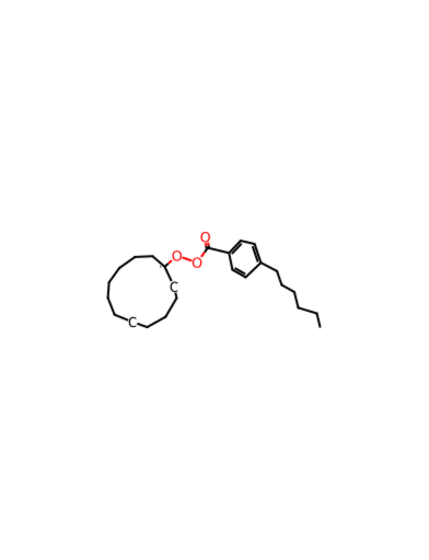 CCCCCCc1ccc(C(=O)OO[C]2CCCCCCCCCCC2)cc1